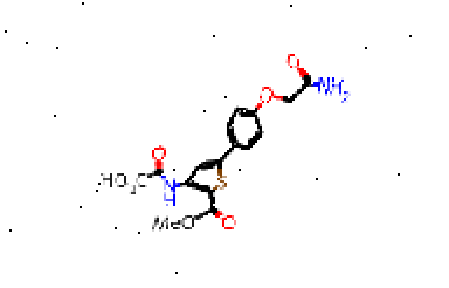 COC(=O)c1sc(-c2ccc(OCC(N)=O)cc2)cc1NC(=O)C(=O)O